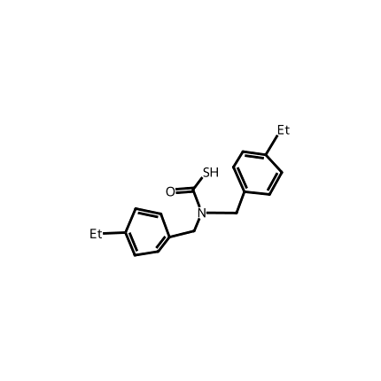 CCc1ccc(CN(Cc2ccc(CC)cc2)C(=O)S)cc1